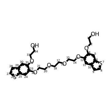 OCCOc1cc2sccc2cc1OCCOCCOCCOc1cc2sccc2cc1OCCO